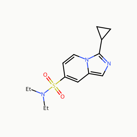 CCN(CC)S(=O)(=O)c1ccn2c(C3CC3)ncc2c1